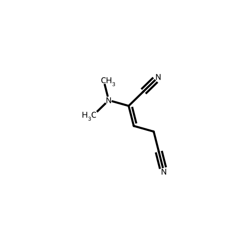 CN(C)C(C#N)=CCC#N